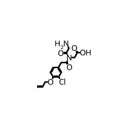 C=CCOc1ccc(CC(=O)N(CC(=O)O)C(=O)CN)cc1Cl